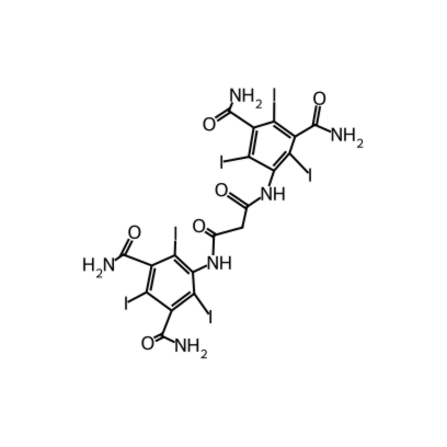 NC(=O)c1c(I)c(NC(=O)CC(=O)Nc2c(I)c(C(N)=O)c(I)c(C(N)=O)c2I)c(I)c(C(N)=O)c1I